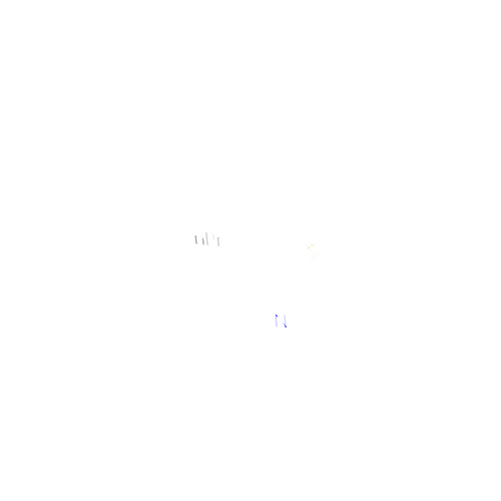 [CH2]CCC1=NCCS1